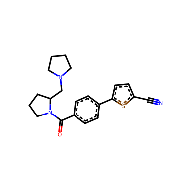 N#Cc1ccc(-c2ccc(C(=O)N3CCCC3CN3CCCC3)cc2)s1